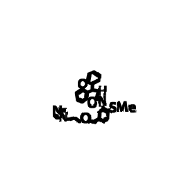 CSc1ccc(COCCCn2ccnc2)cc1NC(=O)CC1c2ccccc2Oc2ccccc21